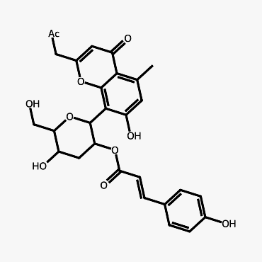 CC(=O)Cc1cc(=O)c2c(C)cc(O)c(C3OC(CO)C(O)CC3OC(=O)/C=C/c3ccc(O)cc3)c2o1